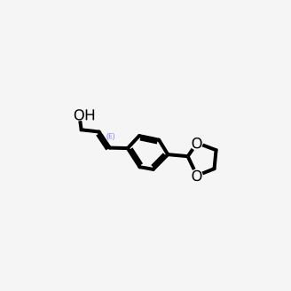 OC/C=C/c1ccc(C2OCCO2)cc1